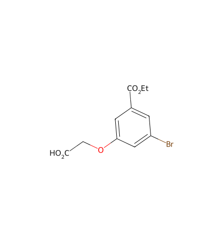 CCOC(=O)c1cc(Br)cc(OCC(=O)O)c1